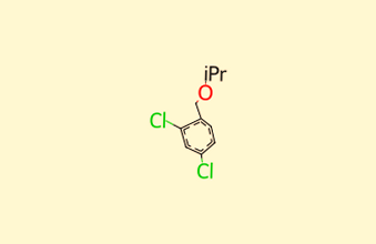 CC(C)OCc1ccc(Cl)cc1Cl